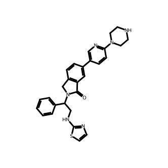 O=C1c2cc(-c3ccc(N4CCNCC4)nc3)ccc2CN1C(CNc1nccs1)c1ccccc1